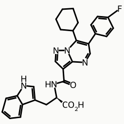 O=C(N[C@H](Cc1c[nH]c2ccccc12)C(=O)O)c1cnn2c(C3CCCCC3)c(-c3ccc(F)cc3)cnc12